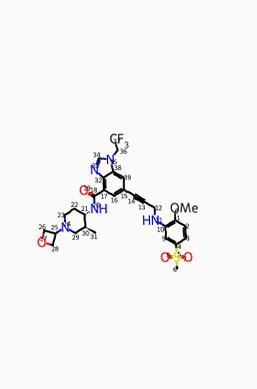 COc1ccc(S(C)(=O)=O)cc1NCC#Cc1cc(C(=O)N[C@H]2CCN(C3COC3)C[C@@H]2C)c2ncn(CC(F)(F)F)c2c1